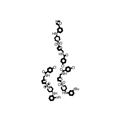 CC(C)(C)c1cccc(NC2CCN(S(=O)(=O)c3ccc(CNC(=O)c4ccc(Cl)cc4)s3)CC2)c1.CCCc1ccccc1NC1CCN(S(=O)(=O)c2ccc(CNC(=O)c3ccc(Cl)cc3)s2)CC1.O=C(NCc1ccc(S(=O)(=O)N2CCC(Nc3cccc(-c4cnco4)c3)CC2)s1)c1ccc(Cl)cc1